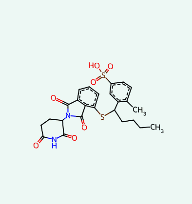 CCCCC(Sc1cccc2c1C(=O)N(C1CCC(=O)NC1=O)C2=O)c1cc(S(=O)(=O)O)ccc1C